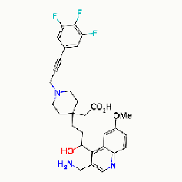 COc1ccc2ncc(CN)c(C(O)CCC3(CC(=O)O)CCN(CC#Cc4cc(F)c(F)c(F)c4)CC3)c2c1